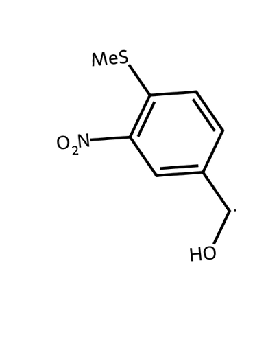 CSc1ccc([CH]O)cc1[N+](=O)[O-]